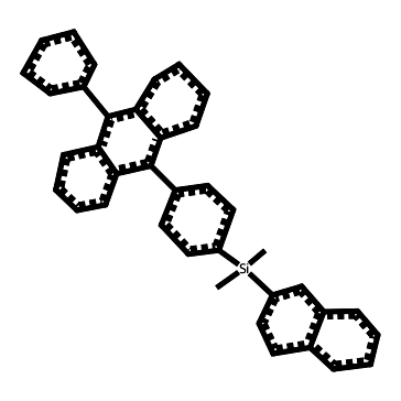 C[Si](C)(c1ccc(-c2c3ccccc3c(-c3ccccc3)c3ccccc23)cc1)c1ccc2ccccc2c1